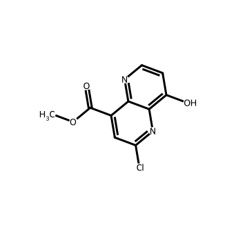 COC(=O)c1cc(Cl)nc2c(O)ccnc12